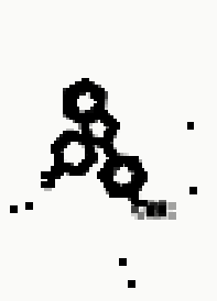 COc1ccc(C2Cc3ccccc3C23CCC(=O)CC3)cc1